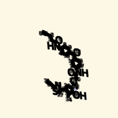 C#CCCC(=O)Nc1ccc(C(=O)c2ccc(NC(=O)CO/N=C3\CC(c4csc(C#C)n4)=C(C)C3O)cc2)cc1